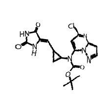 CC(C)(C)OC(=O)N(c1cc(Cl)nc2ccnn12)C1CC1/C=C1\NC(=O)NC1=O